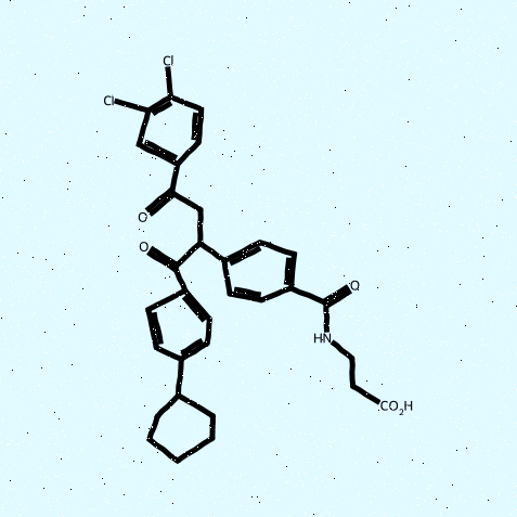 O=C(O)CCNC(=O)c1ccc(C(CC(=O)c2ccc(Cl)c(Cl)c2)C(=O)c2ccc(C3CCCCC3)cc2)cc1